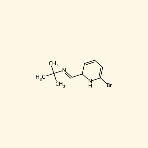 CC(C)(C)/N=C/C1C=CC=C(Br)N1